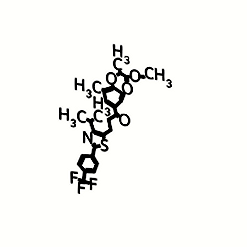 CCOC(=O)C(C)Oc1ccc(C(=O)CCc2sc(-c3ccc(C(F)(F)F)cc3)nc2C(C)C)cc1C